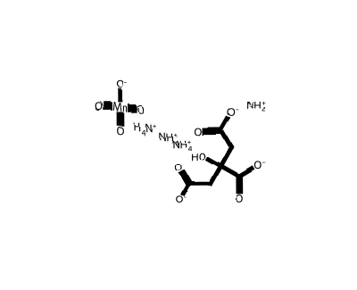 O=C([O-])CC(O)(CC(=O)[O-])C(=O)[O-].[NH4+].[NH4+].[NH4+].[NH4+].[O]=[Mn](=[O])(=[O])[O-]